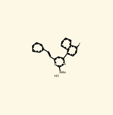 CNc1nc(C=Cc2ccccc2)cc(-c2ccc(F)c3ccccc23)n1.Cl